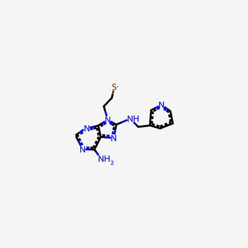 Nc1ncnc2c1nc(NCc1cccnc1)n2CC[S]